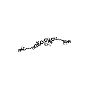 CCC1(COCCCCCCOc2ccc(C(=O)Oc3ccc4c(c3)C(C)c3cc(OC(=O)c5ccc(OCCCCCCOCC6(CC)COC6)cc5F)ccc3-4)c(F)c2)COC1